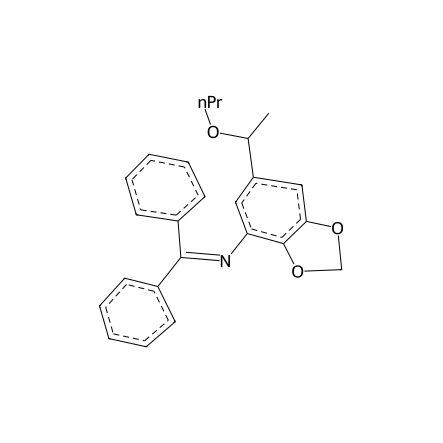 CCCOC(C)c1cc(N=C(c2ccccc2)c2ccccc2)c2c(c1)OCO2